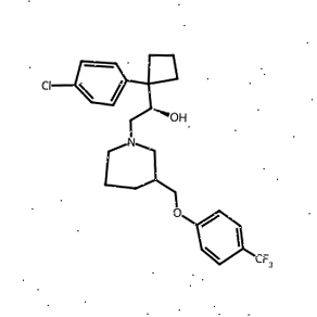 O[C@@H](CN1CCCC(COc2ccc(C(F)(F)F)cc2)C1)C1(c2ccc(Cl)cc2)CCC1